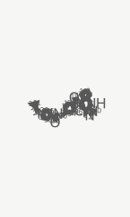 Cn1ncc2c1Nc1ccccc1N(C(=O)c1ccc(CNC(=O)C3CCN(CC4CC4)CC3)cc1Cl)C2